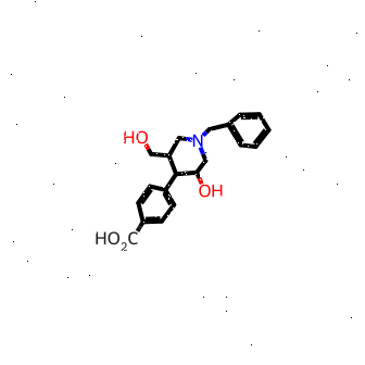 O=C(O)c1ccc(C2C(O)CN(Cc3ccccc3)CC2CO)cc1